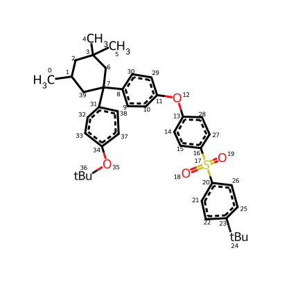 CC1CC(C)(C)CC(c2ccc(Oc3ccc(S(=O)(=O)c4ccc(C(C)(C)C)cc4)cc3)cc2)(c2ccc(OC(C)(C)C)cc2)C1